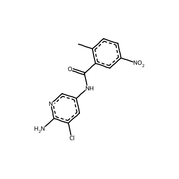 Cc1ccc([N+](=O)[O-])cc1C(=O)Nc1cnc(N)c(Cl)c1